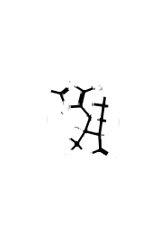 [2H]c1nc(C)n(C)c1C[C@@]1([2H])C([2H])([2H])OC(=O)[C@@]1([2H])C([2H])([2H])C([2H])([2H])[2H]